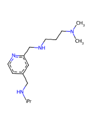 CC(C)NCc1ccnc(CNCCCN(C)C)c1